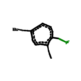 [CH2]C(CC)c1ccc(F)c(C)c1